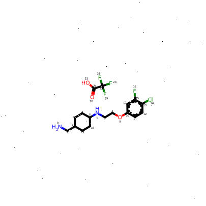 NCC1CCC(NCCOc2ccc(Cl)c(F)c2)CC1.O=C(O)C(F)(F)F